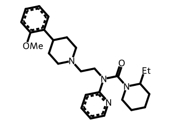 CCC1CCCCN1C(=O)N(CCN1CCC(c2ccccc2OC)CC1)c1ccccn1